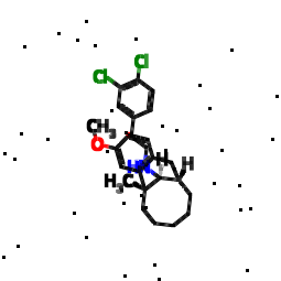 COc1ccc2c(c1)[C@@]1(C)CCCCC[C@@H](C2)[C@@H]1NCCc1ccc(Cl)c(Cl)c1